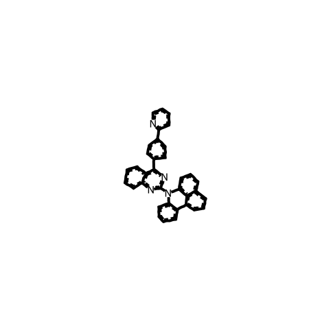 c1ccc(-c2ccc(-c3nc(N4c5ccccc5-c5cccc6cccc4c56)nc4ccccc34)cc2)nc1